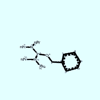 CCCN(CCC)P(OCc1ccccc1)N(CCC)C(C)CC